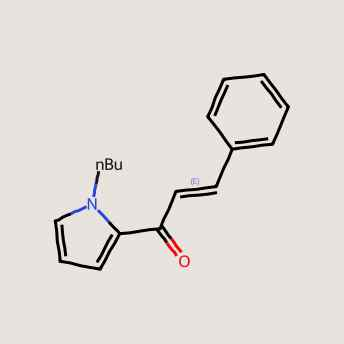 CCCCn1cccc1C(=O)/C=C/c1ccccc1